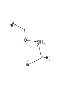 CCCCO[SiH2]C(Br)Br